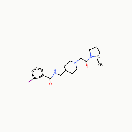 O=C(NCC1CCN(CC(=O)N2CCC[C@H]2C(F)(F)F)CC1)c1cccc(I)c1